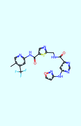 Cc1cnc(NC(=O)c2cnc(CNC(=O)c3cc(Nc4ccon4)ncn3)s2)cc1C(F)(F)F